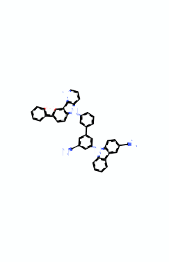 N#Cc1cc(-c2cccc(-n3c4cccnc4c4c5oc6ccccc6c5ccc43)c2)cc(-n2c3ccccc3c3cc(C#N)ccc32)c1